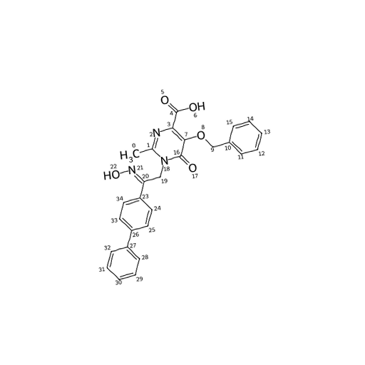 Cc1nc(C(=O)O)c(OCc2ccccc2)c(=O)n1C/C(=N/O)c1ccc(-c2ccccc2)cc1